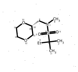 CCC(C)(C)S(=O)(=O)N(C)C[C@@H]1COCCO1